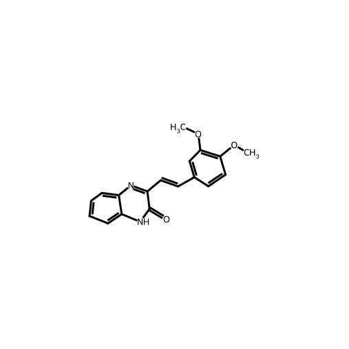 COc1ccc(C=Cc2nc3ccccc3[nH]c2=O)cc1OC